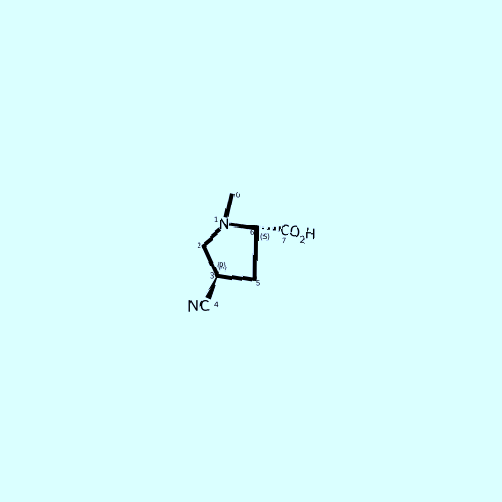 CN1C[C@H](C#N)C[C@H]1C(=O)O